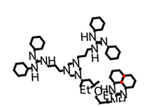 CCC(C)(CC(C)N1CN(CCCN/C(=N\C2CCCCC2)NC2CCCCC2)CN(CCCN/C(=N\C2CCCCC2)NC2CCCCC2)C1)OCC(C)C(C)(CC)N/C(=N/C1CCCCC1)NC1CCCCC1